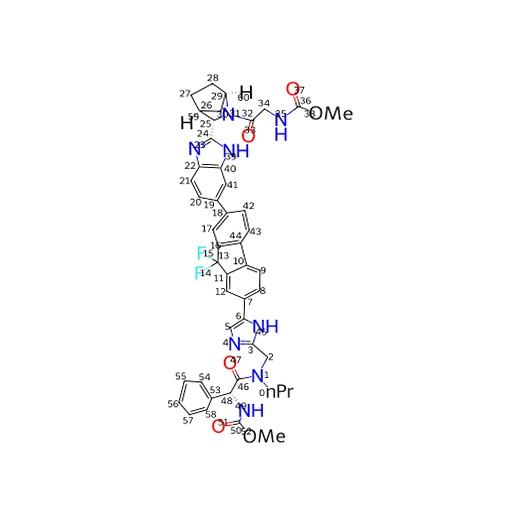 CCCN(Cc1ncc(-c2ccc3c(c2)C(F)(F)c2cc(-c4ccc5nc([C@@H]6[C@H]7CC[C@H](C7)N6C(=O)CNC(=O)OC)[nH]c5c4)ccc2-3)[nH]1)C(=O)[C@H](NC(=O)OC)c1ccccc1